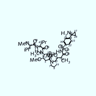 CC[C@H](C)[C@@H]([C@@H](CC(=O)N1CCC[C@H]1[C@H](OC)[C@@H](C)C(=O)NS(=O)(=O)c1ccc(C2(N)CC2)cc1)OC)N(C)C(=O)[C@@H](NC(=O)[C@@H](NC)C(C)C)C(C)C